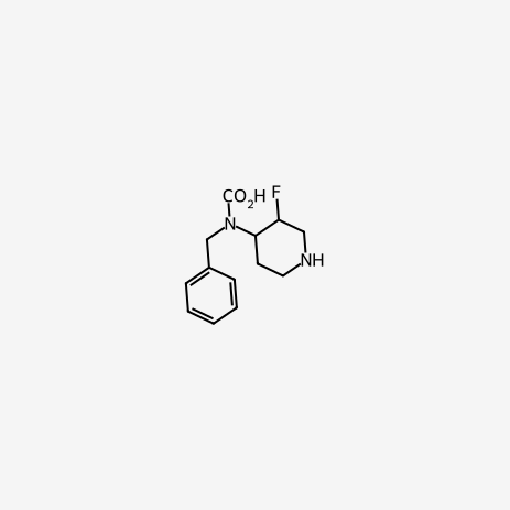 O=C(O)N(Cc1ccccc1)C1CCNCC1F